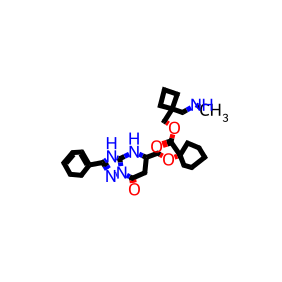 CNCC1(COC(=O)C2(OCC3CC(=O)N4N=C(C5=CC=CCC5)NC4N3)CCCCC2)CCC1